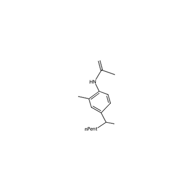 C=C(C)Nc1ccc(C(C)CCCCC)cc1C